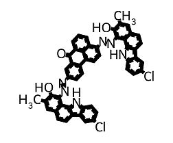 Cc1cc2ccc3c4cc(Cl)ccc4[nH]c3c2c(N=Nc2ccc3c(c2)C(=O)c2cccc4c(N=Nc5c(O)c(C)cc6ccc7c8cc(Cl)ccc8[nH]c7c56)ccc-3c24)c1O